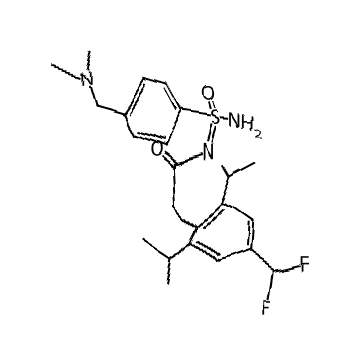 CC(C)c1cc(C(F)F)cc(C(C)C)c1CC(=O)N=S(N)(=O)c1ccc(CN(C)C)cc1